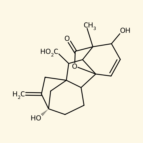 C=C1CC23C[C@@]1(O)CCC2C12C=CC(O)C(C)(C(=O)O1)C2C3C(=O)O